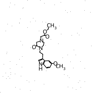 CCOC(=O)CN1CCN(CCc2c[nH]c3ccc(OC)cc23)C(=O)C1